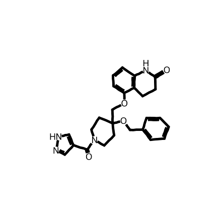 O=C1CCc2c(cccc2OCC2(OCc3ccccc3)CCN(C(=O)c3cn[nH]c3)CC2)N1